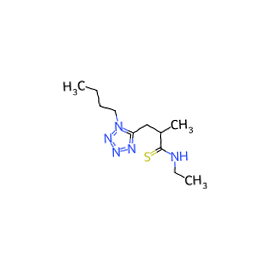 CCCCn1nnnc1CC(C)C(=S)NCC